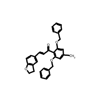 Cc1cc(OCc2ccccc2)c(C(=O)C=Cc2ccc3c(c2)CCO3)c(OCc2ccccc2)c1